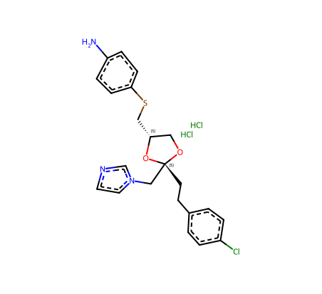 Cl.Cl.Nc1ccc(SC[C@@H]2CO[C@](CCc3ccc(Cl)cc3)(Cn3ccnc3)O2)cc1